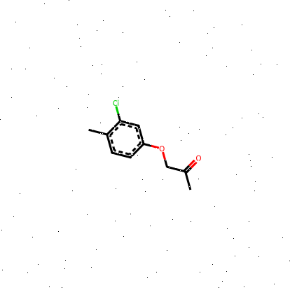 CC(=O)COc1ccc(C)c(Cl)c1